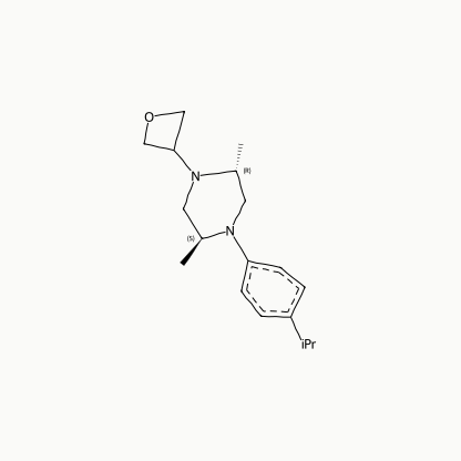 CC(C)c1ccc(N2C[C@@H](C)N(C3COC3)C[C@@H]2C)cc1